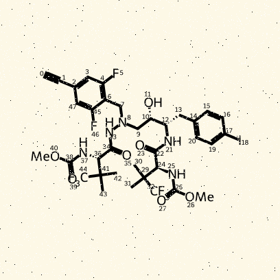 C#Cc1cc(F)c(CN(C[C@H](O)[C@H](Cc2ccc(I)cc2)NC(=O)[C@@H](NC(=O)OC)C(C)(C)C(F)(F)F)NC(=O)[C@@H](NC(=O)OC)C(C)(C)C(F)(F)F)c(F)c1